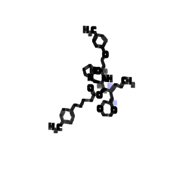 C=C/C=C(\C=C1/COCCO1)[C@@H](OC(=O)CCCCc1ccc(C)cc1)[C@@H](CN1CCCC1)N[C@H](O)CCOc1ccc(C)cc1